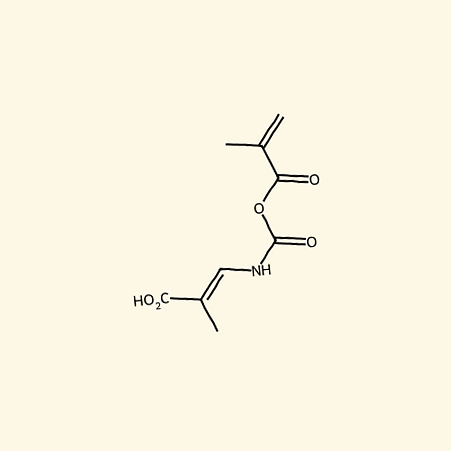 C=C(C)C(=O)OC(=O)NC=C(C)C(=O)O